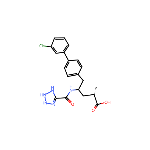 C[C@@H](CC(Cc1ccc(-c2cccc(Cl)c2)cc1)NC(=O)C1=NNNN1)C(=O)O